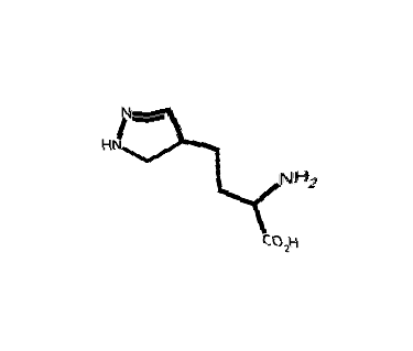 NC(CCC1C=NNC1)C(=O)O